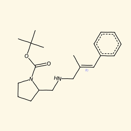 C/C(=C\c1ccccc1)CNCC1CCCN1C(=O)OC(C)(C)C